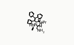 C#CNN(C(=O)CN)[C@@H](C(=O)NC(C)C)C(=C(c1ccccc1)c1ccccc1)c1ccccc1